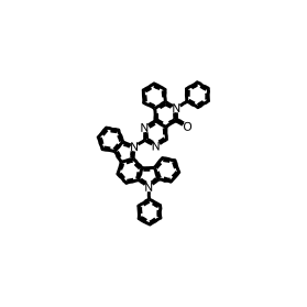 O=c1c2cnc(-n3c4ccccc4c4ccc5c(c6ccccc6n5-c5ccccc5)c43)nc2c2ccccc2n1-c1ccccc1